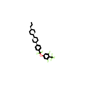 CCC[C@H]1CC[C@H]([C@H]2CC[C@H](c3ccc(C(F)(F)Oc4cc(F)c(C(F)(F)F)c(F)c4)cc3)CC2)CC1